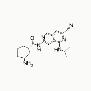 CC(C)Nc1nc(C#N)cc2cnc(NC(=O)[C@H]3CCC[C@H](N)C3)cc12